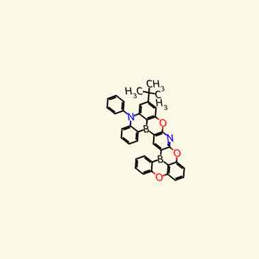 CC(C)(C)c1cc2c3c(c1)N(c1ccccc1)c1ccccc1B3c1cc3c(nc1O2)Oc1cccc2c1B3c1ccccc1O2